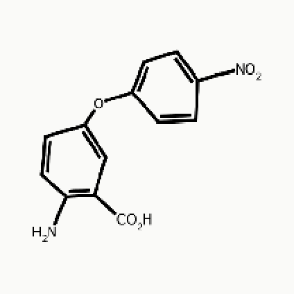 Nc1ccc(Oc2ccc([N+](=O)[O-])cc2)cc1C(=O)O